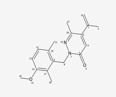 C=C(C)c1cc(=O)n(Cc2c(C)ccc(OC)c2C)nc1C